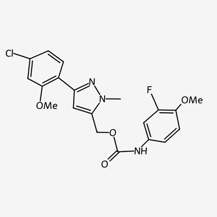 COc1ccc(NC(=O)OCc2cc(-c3ccc(Cl)cc3OC)nn2C)cc1F